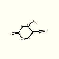 C#CC1COC(=O)CC1C